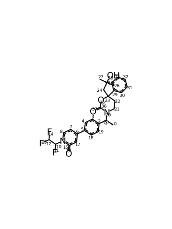 C[C@@H](c1ccc(-c2ccn(C(F)C(F)F)c(=O)c2)cc1)N1CCC(CC(C)(C)O)(c2ccccc2)OC1=O